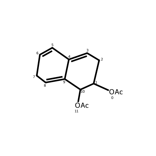 CC(=O)OC1CC=C2C=CCC=C2C1OC(C)=O